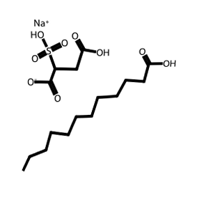 CCCCCCCCCCCC(=O)O.O=C(O)CC(C(=O)[O-])S(=O)(=O)O.[Na+]